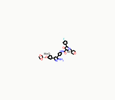 COc1cc(-c2cnc(N)c(-c3ccc(NC(=O)c4cn(CC5(C#N)CCOCC5)cc(-c5ccc(F)cc5)c4=O)cc3)c2)ccc1OC[C@H]1COCCO1